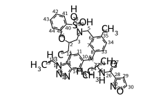 CCC1CN(Cc2cc([C@@H](c3ccc4c(nnn4CC)c3C)C(C)(C)NC(=O)c3ccon3)ccc2C)S(O)(O)c2ccccc2O1